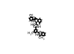 Cc1cc(C(=O)N[C@@H](Cc2ccccc2)[C@H](O)CNC2(c3cccc(C(F)(F)F)c3)CC2)cc(C(=O)N[C@H](C)c2ccccc2)c1